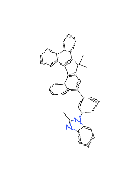 Cc1nc2ccccc2n1-c1cccc(-c2cc3c(c4ccccc24)-c2c(c4ccccc4c4ccccc24)C3(C)C)c1